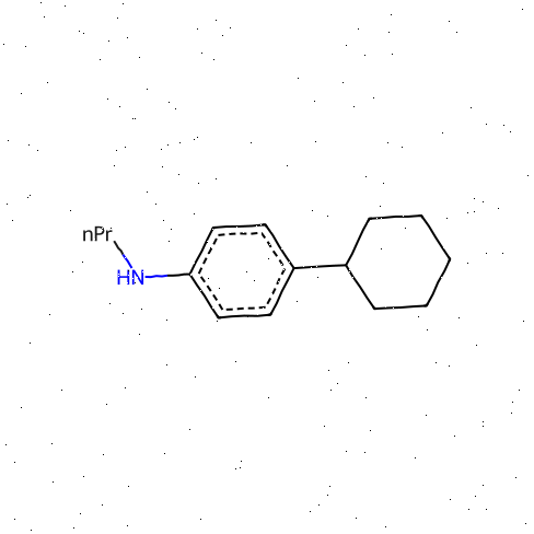 CCCNc1ccc(C2CCCCC2)cc1